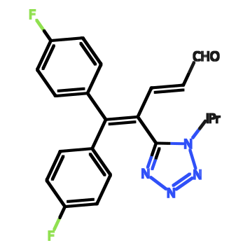 CC(C)n1nnnc1C(C=CC=O)=C(c1ccc(F)cc1)c1ccc(F)cc1